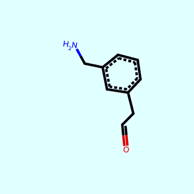 NCc1cccc(CC=O)c1